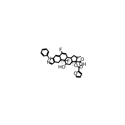 C[C@@H]1CC2C3C=C(F)C4=Cc5c(cnn5-c5ccccc5)C[C@]4(C)[C@@]3(F)C(O)C[C@]2(C)[C@@]1(OC(=O)c1ccco1)C(=O)O